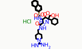 Cl.N=C(N)N1CCC(CNC(=O)CC(NS(=O)(=O)c2ccc3ccccc3c2)C(=O)C(N)(C(=O)O)C2CCCCC2)CC1